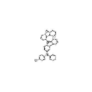 Clc1ccc(N(c2ccccc2)c2ccc3c(c2)c2ccccc2n3-c2cccc3oc4cccc(Cl)c4c23)cc1